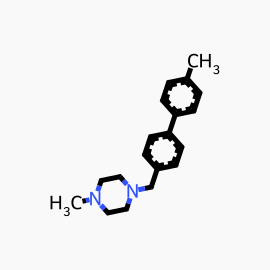 Cc1ccc(-c2ccc(CN3CCN(C)CC3)cc2)cc1